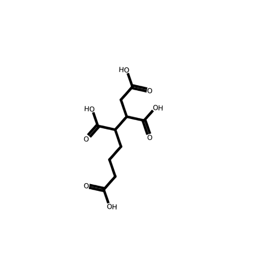 O=C(O)CCCC(C(=O)O)C(CC(=O)O)C(=O)O